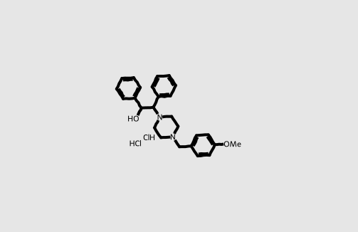 COc1ccc(CN2CCN(C(c3ccccc3)C(O)c3ccccc3)CC2)cc1.Cl.Cl